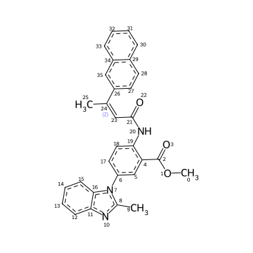 COC(=O)c1cc(-n2c(C)nc3ccccc32)ccc1NC(=O)/C=C(/C)c1ccc2ccccc2c1